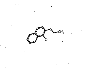 CCSc1ccc2ccccc2c1[O]